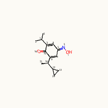 CC(C)C1=C/C(=N/O)C=C([C@H](C)C2CC2)C1=O